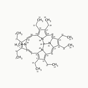 CCc1c(CC)c2cc3c(CC)c(CC)c4cc5c(CC)c(CC)c6cc7c(CC)c(CC)c(cc1n2C)n7p(n34)n65